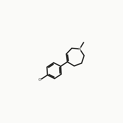 CN1CC=C(c2ccc(Cl)cc2)CCC1